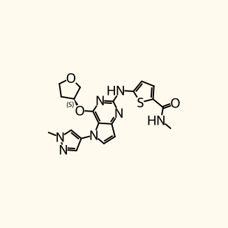 CNC(=O)c1ccc(Nc2nc(O[C@H]3CCOC3)c3c(ccn3-c3cnn(C)c3)n2)s1